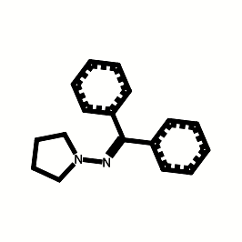 c1ccc(C(=NN2CCCC2)c2ccccc2)cc1